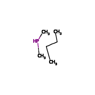 CCCC.CPC